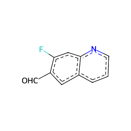 O=Cc1cc2cccnc2cc1F